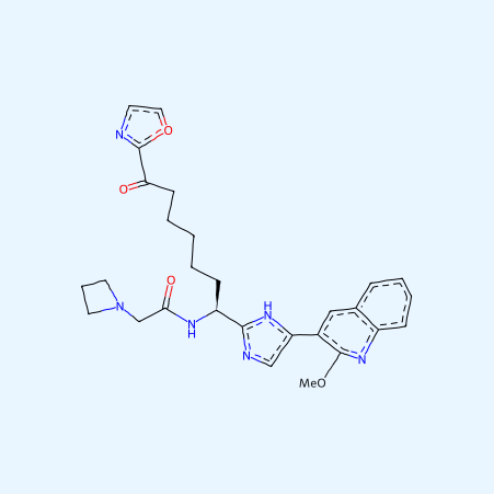 COc1nc2ccccc2cc1-c1cnc([C@H](CCCCCC(=O)c2ncco2)NC(=O)CN2CCC2)[nH]1